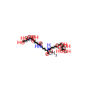 CC(=O)C(CCCCNC(=O)CCCCOC(O)/C(O)=C/C(O)CCO)NC(=O)CCCCOC(CO)OC(CO)C(O)CO